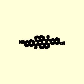 O=C(Oc1ccc2ccccc2c1-c1c(OC(=O)c2ccc3cc(O)ccc3c2)ccc2ccccc12)c1ccc2cc(O)ccc2c1